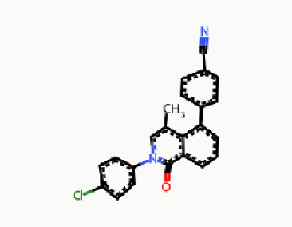 Cc1cn(-c2ccc(Cl)cc2)c(=O)c2cccc(-c3ccc(C#N)cc3)c12